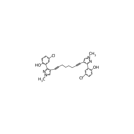 Cn1cc(C#CCCCCC#Cc2cn(C)nc2-c2cc(Cl)ccc2O)c(-c2cc(Cl)ccc2O)n1